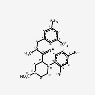 CN(Cc1cc(C(F)(F)F)cc(C(F)(F)F)c1)C(=O)C1CN(C(=O)O)CCN1c1ccc(F)cc1F